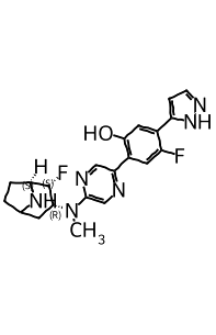 CN(c1cnc(-c2cc(F)c(-c3ccn[nH]3)cc2O)cn1)[C@@H]1CC2CC[C@H](N2)[C@@H]1F